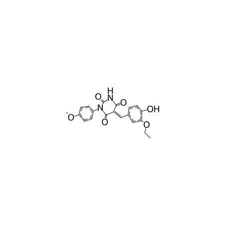 CCOc1cc(/C=C2\C(=O)NC(=O)N(c3ccc(OC)cc3)C2=O)ccc1O